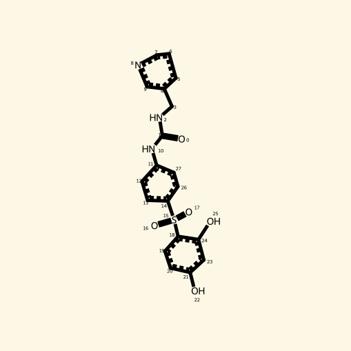 O=C(NCc1cccnc1)Nc1ccc(S(=O)(=O)c2ccc(O)cc2O)cc1